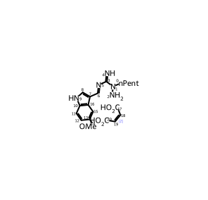 CCCCCN(N)C(=N)N=Cc1c[nH]c2ccc(OC)cc12.O=C(O)/C=C\C(=O)O